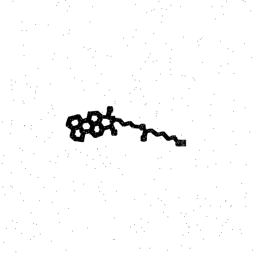 O=C(CCCCCO)OCCCCN1C(=O)c2ccc3c4cccc5cccc(c6ccc(c2c36)C1=O)c54